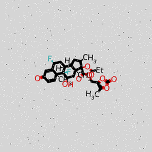 CCC(=O)O[C@]1(C(=O)OCc2oc(=O)oc2C)[C@H](C)C[C@H]2[C@@H]3C[C@H](F)C4=CC(=O)C=C[C@]4(C)[C@@]3(F)[C@@H](O)C[C@@]21C